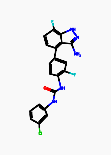 Nc1n[nH]c2c(F)ccc(-c3ccc(NC(=O)Nc4cccc(Cl)c4)c(F)c3)c12